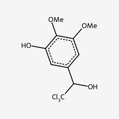 COc1cc(C(O)C(Cl)(Cl)Cl)cc(O)c1OC